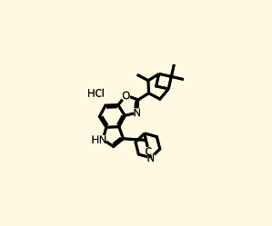 CC1C(c2nc3c(ccc4[nH]cc(C5CN6CCC5CC6)c43)o2)CC2CC1C2(C)C.Cl